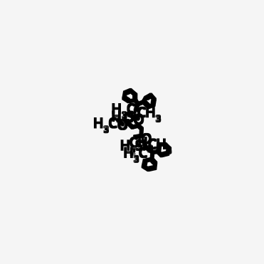 C=CC(CC(CC(=O)OCC)O[SiH2]C(C)(C)C(c1ccccc1)c1ccccc1)O[SiH2]C(C)(C)C(c1ccccc1)c1ccccc1